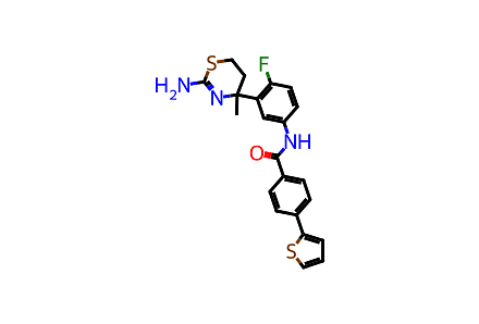 CC1(c2cc(NC(=O)c3ccc(-c4cccs4)cc3)ccc2F)CCSC(N)=N1